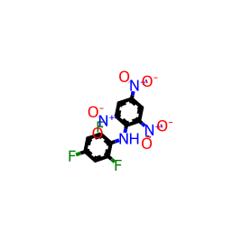 O=[N+]([O-])c1cc([N+](=O)[O-])c(Nc2c(F)cc(F)cc2F)c([N+](=O)[O-])c1